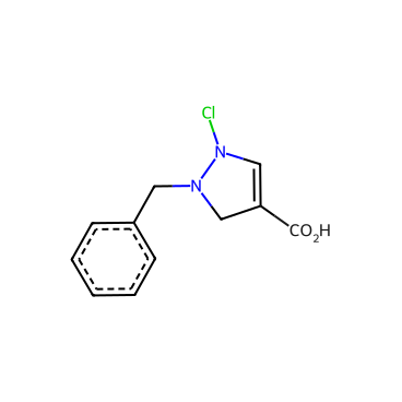 O=C(O)C1=CN(Cl)N(Cc2ccccc2)C1